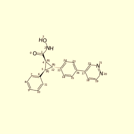 O=C(NO)[C@@H]1[C@H](c2ccccc2)[C@H]1c1ccc(-c2ccnnc2)cc1